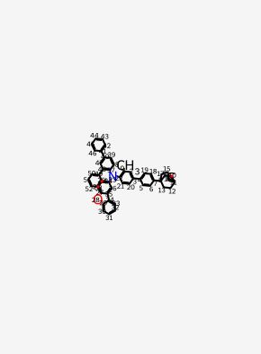 Cc1cc(-c2ccc(C34CCC5(CC3)CC(C5)C4)cc2)ccc1N(c1ccc2oc3ccccc3c2c1)c1ccc(-c2ccccc2)cc1-c1ccccc1